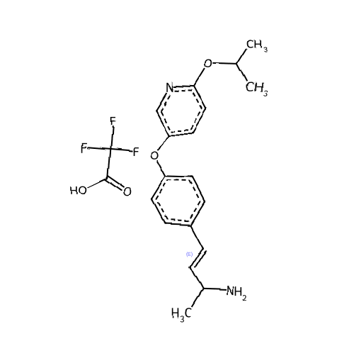 CC(N)/C=C/c1ccc(Oc2ccc(OC(C)C)nc2)cc1.O=C(O)C(F)(F)F